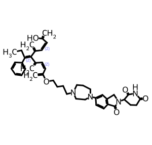 C=C(O)/C=C\C(=C)/C(C(=C)/C=C\C(=C)OCCCCN1CCCN(c2ccc3c(c2)CN(C2CCC(=O)NC2=O)C3=O)CC1)=C(\CC)c1ccccc1